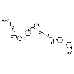 COCCOCCC(=O)N1CCC(OC2CCN(CC(C)CCOCCOCCC(=O)N3CCC(OC4CCN(CC(C)C)CC4)CC3)CC2)C1